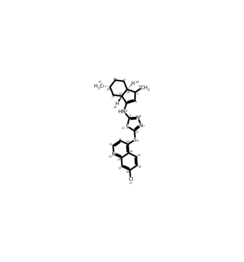 CC1C=C(Nc2nnc(Sc3ccnc4cc(Cl)ccc34)s2)[C@@H]2C[C@H](C)CC[C@@H]12